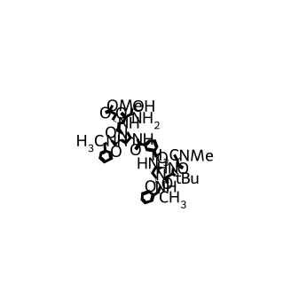 CN[C@@H](C)C(=O)NC(C(=O)N1C[C@@H](NC(=O)c2cccc(C(=O)N[C@H]3C[C@@H](C(=O)N[C@H](C)c4ccccc4)N(C(=O)[C@H](CCC(=O)OC)NC(=O)[C@@H](N)CO)C3)c2)C[C@H]1C(=O)N[C@H](C)c1ccccc1)C(C)(C)C